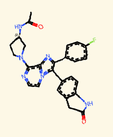 CC(=O)N[C@@H]1CCN(c2nccn3c(-c4ccc5c(c4)CC(=O)N5)c(-c4ccc(F)cc4)nc23)C1